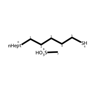 CCCCCCCCCCCCS.CS(=O)(=O)O